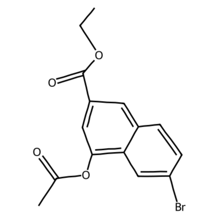 CCOC(=O)c1cc(OC(C)=O)c2cc(Br)ccc2c1